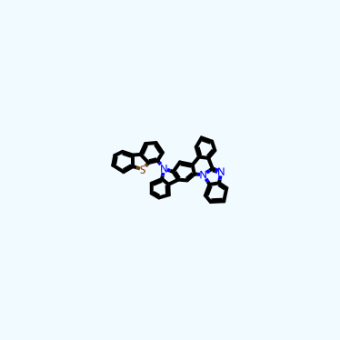 c1ccc2c(c1)nc1c3ccccc3c3cc4c(cc3n21)c1ccccc1n4-c1cccc2c1sc1ccccc12